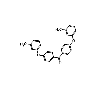 Cc1cccc(Oc2ccc(C(=O)c3ccc(Oc4cccc(C)c4)cc3)cc2)c1